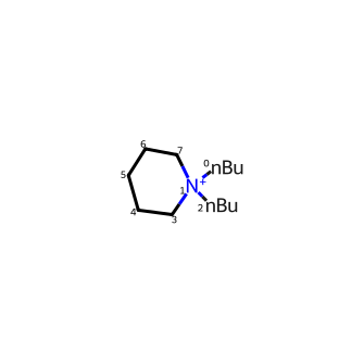 CCCC[N+]1(CCCC)CCCCC1